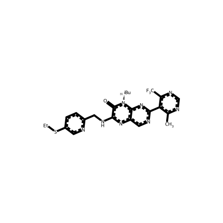 CCSc1ccc(CNc2nc3cnc(-c4c(C)ncnc4C(F)(F)F)nc3n([C@@H](C)CC)c2=O)nc1